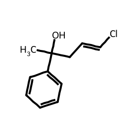 CC(O)(CC=CCl)c1ccccc1